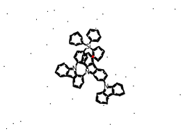 c1ccc([Si](c2ccccc2)(c2ccccc2)c2ccc(-n3c4ccccc4c4cccc(-n5c6ccccc6c6ccc(-n7c8ccccc8c8ccccc87)cc65)c43)cc2)cc1